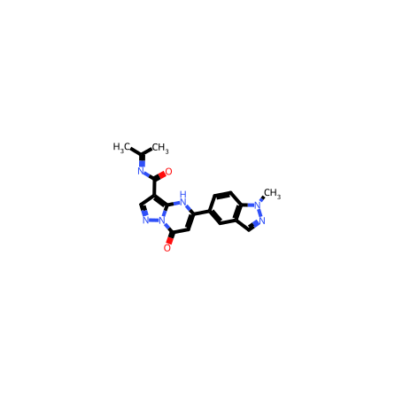 CC(C)=NC(=O)c1cnn2c(=O)cc(-c3ccc4c(cnn4C)c3)[nH]c12